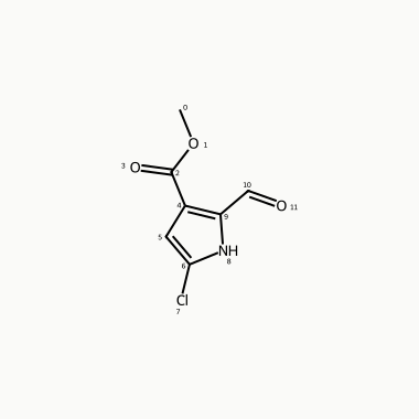 COC(=O)c1cc(Cl)[nH]c1C=O